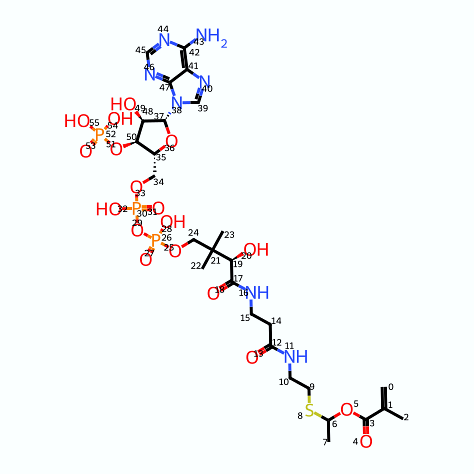 C=C(C)C(=O)OC(C)SCCNC(=O)CCNC(=O)[C@H](O)C(C)(C)COP(=O)(O)OP(=O)(O)OC[C@H]1O[C@@H](n2cnc3c(N)ncnc32)[C@H](O)[C@@H]1OP(=O)(O)O